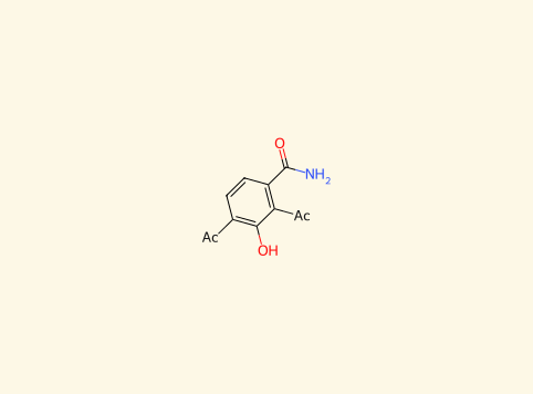 CC(=O)c1ccc(C(N)=O)c(C(C)=O)c1O